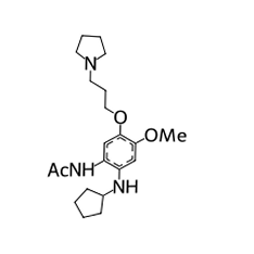 COc1cc(NC2CCCC2)c(NC(C)=O)cc1OCCCN1CCCC1